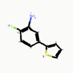 Nc1cc(-c2cccs2)ccc1F